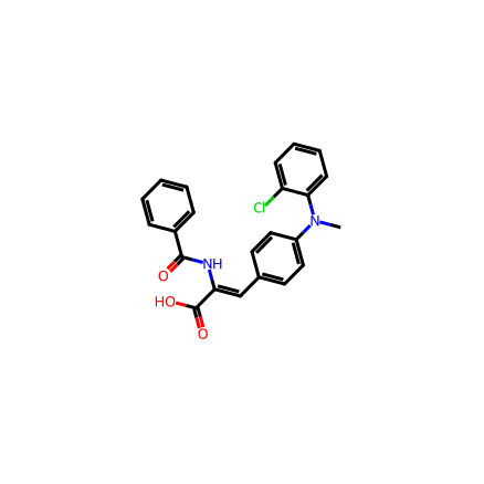 CN(c1ccc(C=C(NC(=O)c2ccccc2)C(=O)O)cc1)c1ccccc1Cl